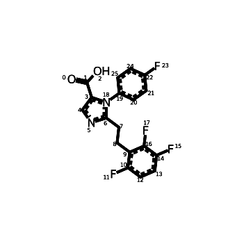 O=C(O)c1cnc(CCc2c(F)ccc(F)c2F)n1-c1ccc(F)cc1